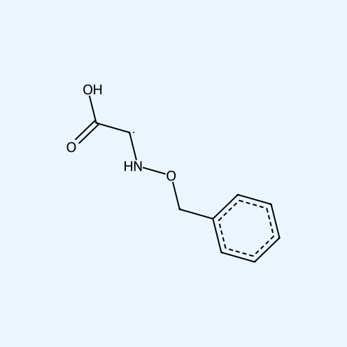 O=C(O)[CH]NOCc1ccccc1